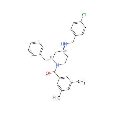 Cc1cc(C)cc(C(=O)N2CC[C@H](NCc3ccc(Cl)cc3)C[C@H]2Cc2ccccc2)c1